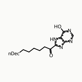 CCCCCCCCCCCCCCCC(=O)c1nc2ncnc(O)c2[nH]1